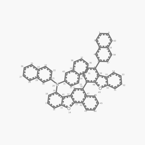 c1ccc2cc(-c3ccc(-c4cc5c(oc6cccc(N(c7ccc8ccccc8c7)c7ccc8ccccc8c7)c65)c5ccccc45)c4oc5ccccc5c34)ccc2c1